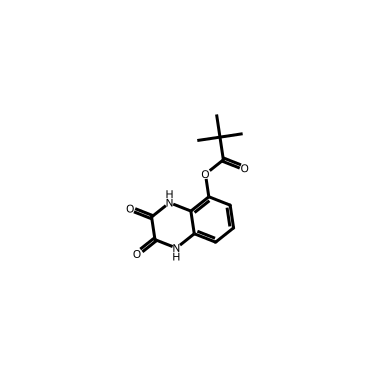 CC(C)(C)C(=O)Oc1cccc2[nH]c(=O)c(=O)[nH]c12